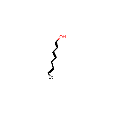 CCC=CCC=CC=CO